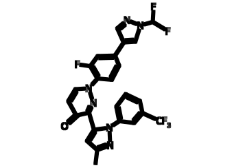 Cc1cc(-c2nn(-c3ccc(-c4cnn(C(F)F)c4)cc3F)ccc2=O)n(-c2cccc(C(F)(F)F)c2)n1